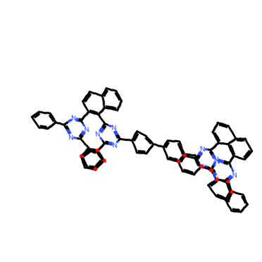 c1ccc(-c2nc(-c3ccccc3)nc(-c3ccc4ccccc4c3-c3nc(-c4ccccc4)nc(-c4ccc(-c5ccc(-c6nc(-c7ccccc7)nc(-c7cccc8cccc(-c9nc(-c%10ccccc%10)nc(-c%10ccccc%10)n9)c78)n6)cc5)cc4)n3)n2)cc1